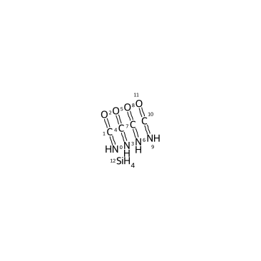 N=C=O.N=C=O.N=C=O.N=C=O.[SiH4]